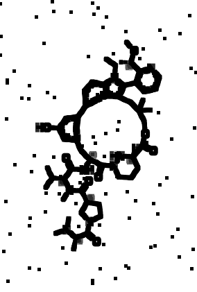 CCn1c(-c2cccnc2[C@H](C)OC)c2c3cc(ccc31)-c1cc(O)cc(c1)C[C@H](NC(=O)[C@H](C(C)C)N(C)C(=O)[C@H]1CCN(C(=O)[C@@H](C)N(C)C)C1)C(=O)N1CCC[C@H](N1)C(=O)OCC(C)(C)C2